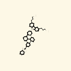 CCCCc1ccc2c(c1)c1cc(CCCC)ccc1n2-c1ccc(-c2ccccc2-c2ccccc2-c2ccc(-c3nc4ccccc4o3)cc2)cc1